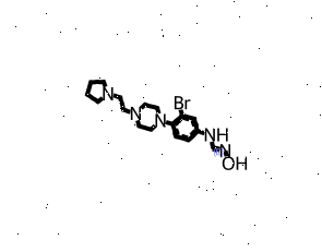 O/N=C/Nc1ccc(N2CCN(CCN3CCCC3)CC2)c(Br)c1